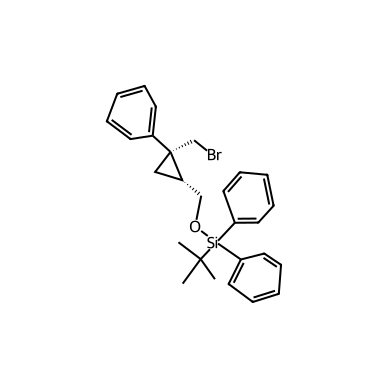 CC(C)(C)[Si](OC[C@@H]1C[C@@]1(CBr)c1ccccc1)(c1ccccc1)c1ccccc1